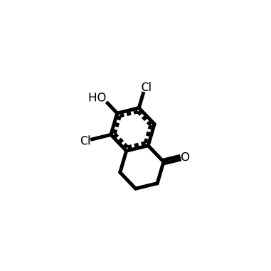 O=C1CCCc2c1cc(Cl)c(O)c2Cl